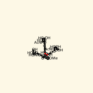 COc1ccc(CC(C(=O)NCCOCCOC2OC(CO)C(O)C(O)C2NC(C)=O)N(CC(=O)NCCOCCOCCOC2OC(CO)C(O)C(O)C2NC(C)=O)CC(=O)NCCOCCOC2OC(CO)C(O)C(O)C2NC(C)=O)cc1